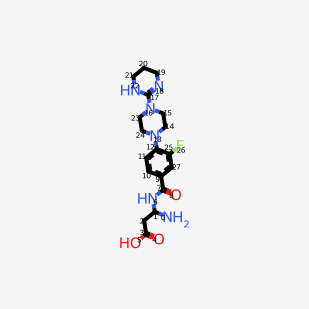 NC(CC(=O)O)NC(=O)c1ccc(N2CCN(C3=NCCCN3)CC2)c(F)c1